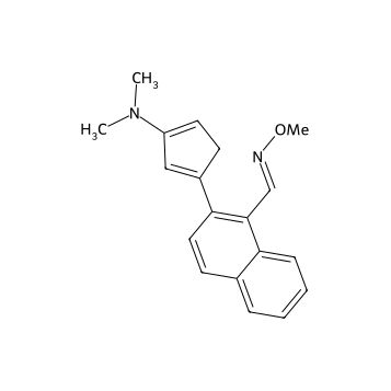 CON=Cc1c(C2=CC(N(C)C)=CC2)ccc2ccccc12